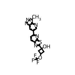 Cn1nnc2cc(-c3ccc4nc(C5(O)CC(OC(F)(F)F)C5)sc4n3)cnc21